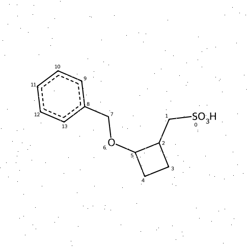 O=S(=O)(O)CC1CCC1OCc1ccccc1